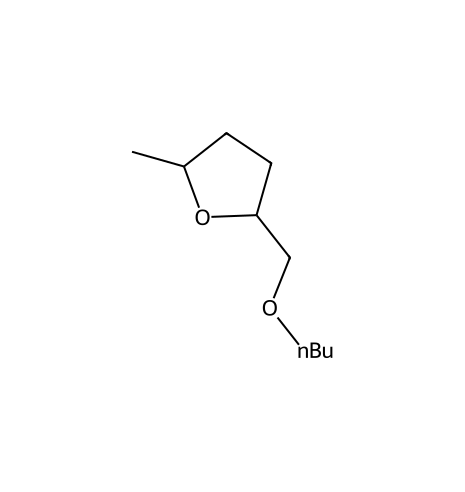 CCCCOCC1CCC(C)O1